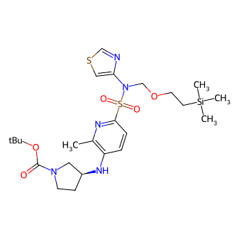 Cc1nc(S(=O)(=O)N(COCC[Si](C)(C)C)c2cscn2)ccc1N[C@H]1CCN(C(=O)OC(C)(C)C)C1